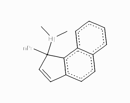 CCC[C]1([Hf]([CH3])[CH3])C=Cc2ccc3ccccc3c21